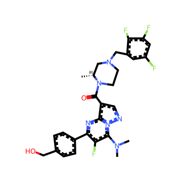 C[C@@H]1CN(Cc2cc(F)cc(F)c2F)CCN1C(=O)c1cnn2c(N(C)C)c(F)c(-c3ccc(CO)cc3)nc12